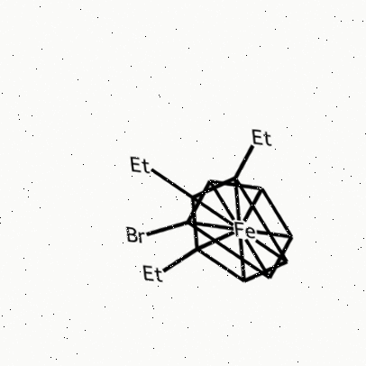 CC[C]12[CH]3[CH]4[C]5(CC)[C]1(CC)[Fe]34251678[CH]2[CH]1[CH]6[C]7(Br)[CH]28